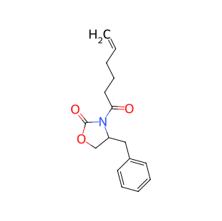 C=CCCCC(=O)N1C(=O)OCC1Cc1ccccc1